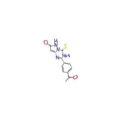 CC(=O)c1ccc(-c2nc3cc(=O)[nH]n3c(=S)[nH]2)cc1